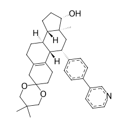 CC1(C)COC2(CCC3=C(CC[C@@H]4[C@@H]3[C@@H](c3ccc(-c5cccnc5)cc3)C[C@]3(C)[C@@H](O)CC[C@@H]43)C2)OC1